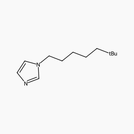 CC(C)(C)CCCCCn1ccnc1